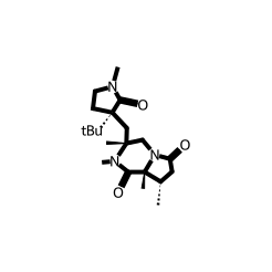 C[C@H]1CC(=O)N2C[C@@](C)(C[C@@]3(C(C)(C)C)CCN(C)C3=O)N(C)C(=O)[C@@]12C